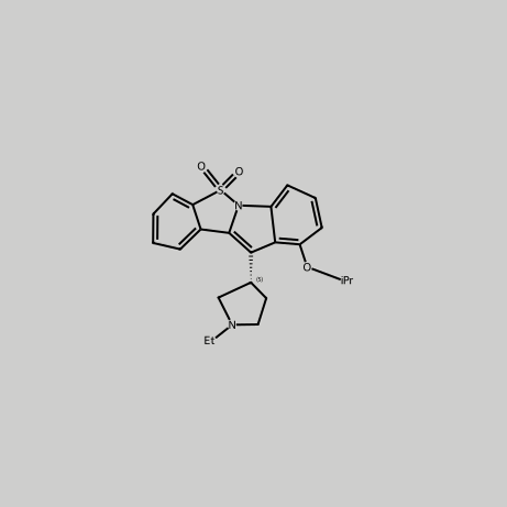 CCN1CC[C@@H](c2c3n(c4cccc(OC(C)C)c24)S(=O)(=O)c2ccccc2-3)C1